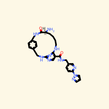 N[C@H]1CCCCNc2nc(ncc2C(=O)NCc2ccc(-n3cccn3)nc2)NCc2ccc(cc2)CNC1=O